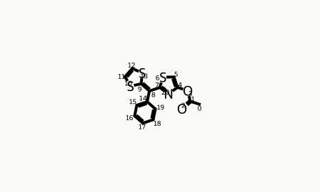 CC(=O)Oc1csc(C(=C2SC=CS2)c2ccccc2)n1